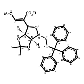 CCOC(=O)C(=COC)C1O[C@H](COC(c2ccccc2)(c2ccccc2)c2ccccc2)[C@H]2OC(C)(C)O[C@@H]12